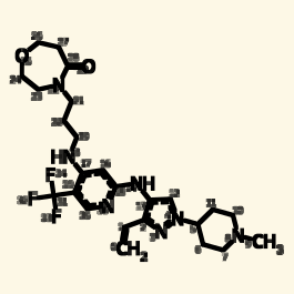 C=Cc1nn(C2CCN(C)CC2)cc1Nc1cc(NCCCN2CCOCCC2=O)c(C(F)(F)F)cn1